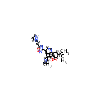 CC(C)c1ccc([C@](O)(c2cncc(-c3noc(CCn4cccn4)n3)c2)C2(C)CN(C)C2)cc1